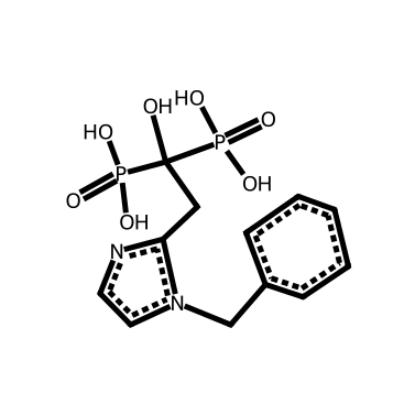 O=P(O)(O)C(O)(Cc1nccn1Cc1ccccc1)P(=O)(O)O